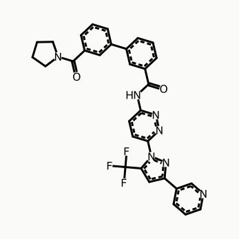 O=C(Nc1ccc(-n2nc(-c3cccnc3)cc2C(F)(F)F)nn1)c1cccc(-c2cccc(C(=O)N3CCCC3)c2)c1